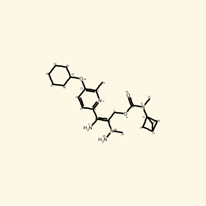 Cc1nc(/C(N)=C(\COC(=O)N(C)C23CC(C2)C3)N(C)N)ccc1OC1CCCCC1